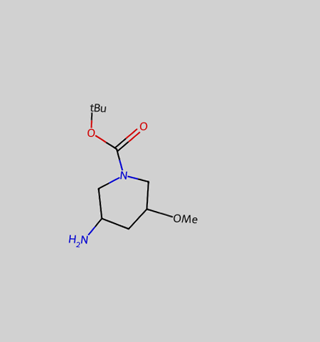 COC1CC(N)CN(C(=O)OC(C)(C)C)C1